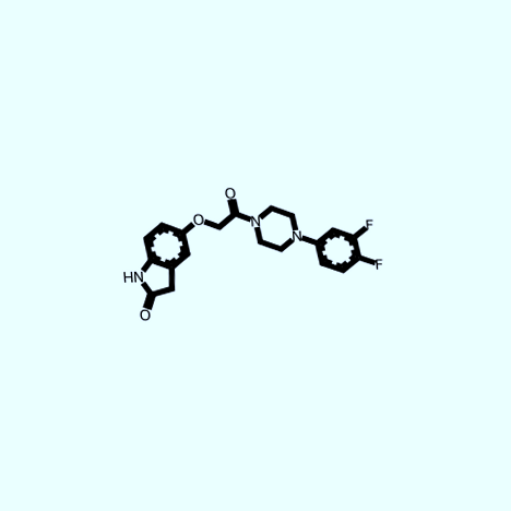 O=C1Cc2cc(OCC(=O)N3CCN(c4ccc(F)c(F)c4)CC3)ccc2N1